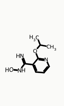 CC(C)Oc1ncccc1C(=N)NO